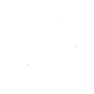 NC(=O)[C](CCO)c1cc([N+](=O)[O-])ccc1F